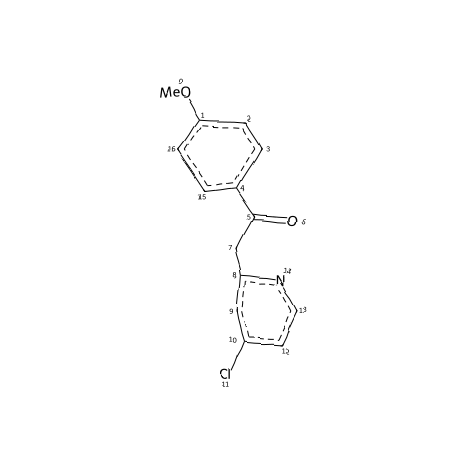 COc1ccc(C(=O)Cc2cc(Cl)ccn2)cc1